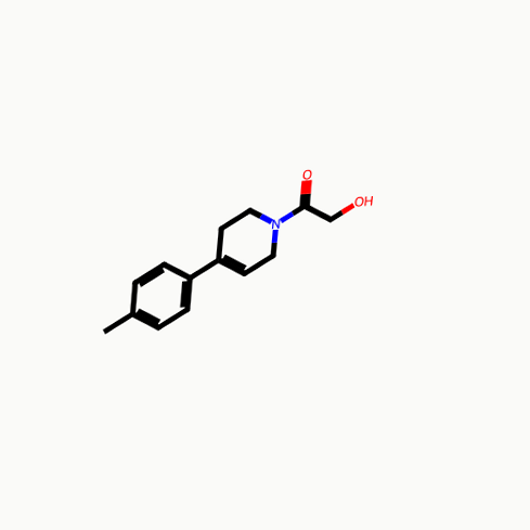 Cc1ccc(C2=CCN(C(=O)CO)CC2)cc1